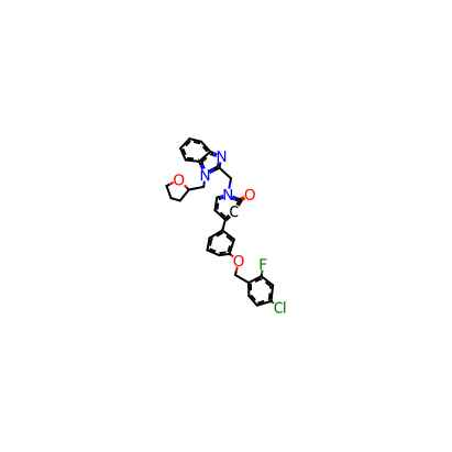 O=c1cc(-c2cccc(OCc3ccc(Cl)cc3F)c2)ccn1Cc1nc2ccccc2n1CC1CCCO1